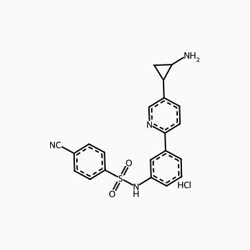 Cl.N#Cc1ccc(S(=O)(=O)Nc2cccc(-c3ccc(C4CC4N)cn3)c2)cc1